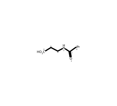 CC(C)C(=O)NCCC(=O)O